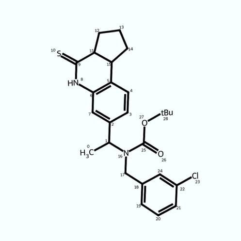 CC(c1ccc2c(c1)NC(=S)C1CCCC21)N(Cc1cccc(Cl)c1)C(=O)OC(C)(C)C